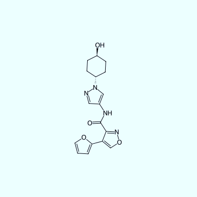 O=C(Nc1cnn([C@H]2CC[C@H](O)CC2)c1)c1nocc1-c1ccco1